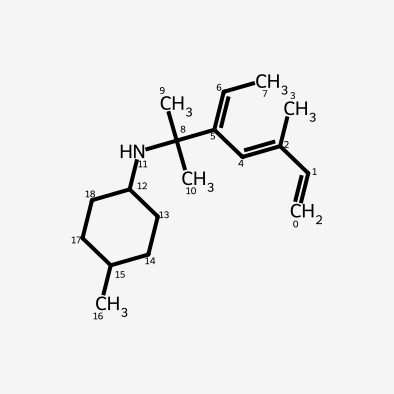 C=C/C(C)=C/C(=C\C)C(C)(C)NC1CCC(C)CC1